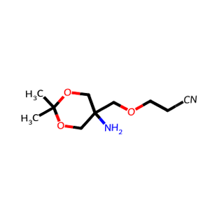 CC1(C)OCC(N)(COCCC#N)CO1